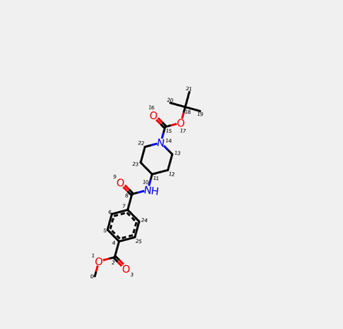 COC(=O)c1ccc(C(=O)NC2CCN(C(=O)OC(C)(C)C)CC2)cc1